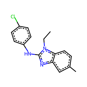 CCn1c(Nc2ccc(Cl)cc2)nc2cc(C)ccc21